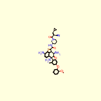 COc1ccccc1Oc1ccc(C2(N)C(=O)C(N)c3c(C(=O)NC4CCCN(C(=O)/C(C#N)=C/C5CC5)C4)sc4c(N)ccc2c34)c(C)c1